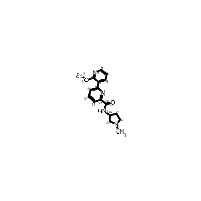 CCOc1ncccc1-c1cccc(C(=O)NC2CCN(C)C2)n1